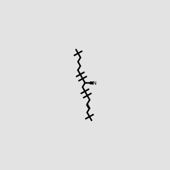 CC(C)(C)CC=CCC(C)(C)C(C)(C)CC(C#N)C(C)(C)C(C)(C)CCCCC(C)(C)C